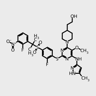 COc1c(Nc2cc(C)[nH]n2)nc(Sc2ccc(S(=O)(=O)C(C)(C)c3cccc([N+](=O)[O-])c3F)cc2F)nc1N1CCC(CCO)CC1